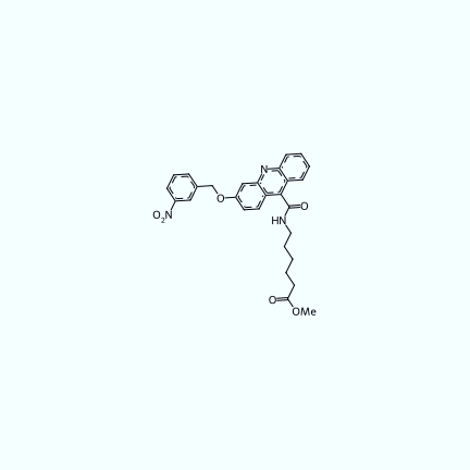 COC(=O)CCCCCNC(=O)c1c2ccccc2nc2cc(OCc3cccc([N+](=O)[O-])c3)ccc12